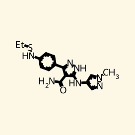 CCSNc1ccc(-c2n[nH]c(Nc3cnn(C)c3)c2C(N)=O)cc1